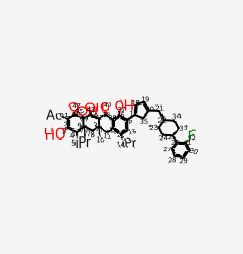 CC(=O)C1=C(O)C(C(C)C)[C@@]2(C)C[C@@]3(C)Cc4c(C(C)C)cc(C5=CC=C(CC6CCC(c7ccccc7F)CC6)C5)c(O)c4C(=O)C3=C(O)[C@@]2(O)C1=O